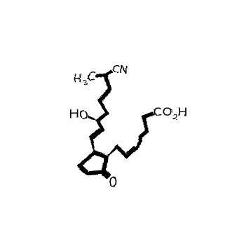 CC(C#N)CCC[C@H](O)C=C[C@@H]1CCC(=O)[C@@H]1C/C=C\CCCC(=O)O